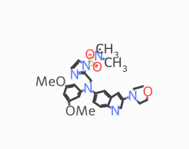 COc1cc(OC)cc(N(Cc2nccn2S(=O)(=O)N(C)C)c2ccc3ncc(N4CCOCC4)cc3c2)c1